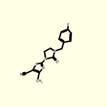 Cc1nc(N2CCN(Cc3ccc(F)cc3)C2=O)sc1C#N